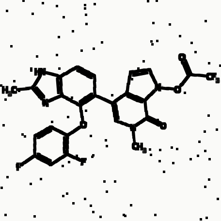 Cc1nc2c(Oc3ccc(F)cc3F)c(-c3cn(C)c(=O)c4c3ccn4OC(=O)C(F)(F)F)ccc2[nH]1